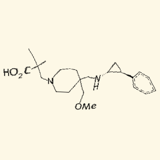 COCC1(CN[C@@H]2C[C@H]2c2ccccc2)CCN(CC(C)(C)C(=O)O)CC1